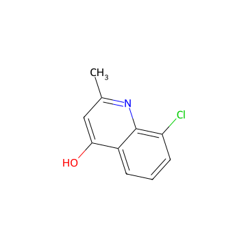 Cc1cc(O)c2cccc(Cl)c2n1